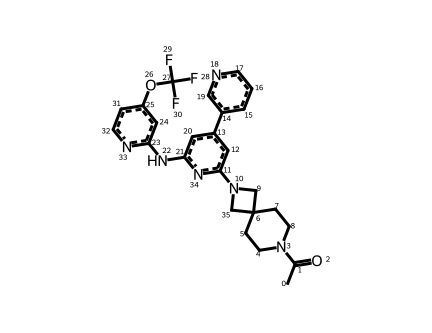 CC(=O)N1CCC2(CC1)CN(c1cc(-c3cccnc3)cc(Nc3cc(OC(F)(F)F)ccn3)n1)C2